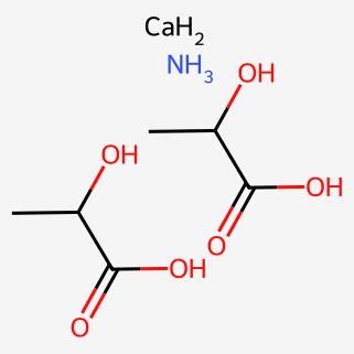 CC(O)C(=O)O.CC(O)C(=O)O.N.[CaH2]